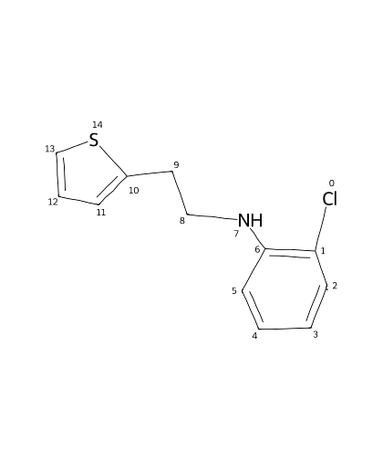 Clc1[c]cccc1NCCc1cccs1